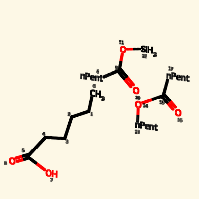 CCCCCC(=O)O.CCCCCC(=O)O[SiH3].CCCCCOC(=O)CCCCC